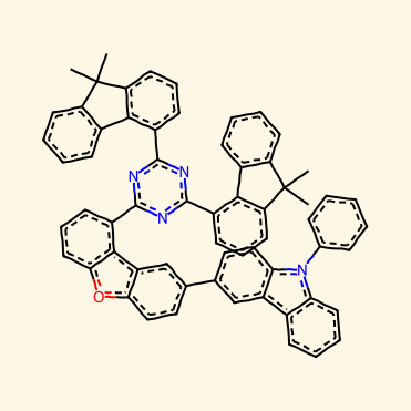 CC1(C)c2ccccc2-c2c(-c3nc(-c4cccc5c4-c4ccccc4C5(C)C)nc(-c4cccc5oc6ccc(-c7ccc8c(c7)c7ccccc7n8-c7ccccc7)cc6c45)n3)cccc21